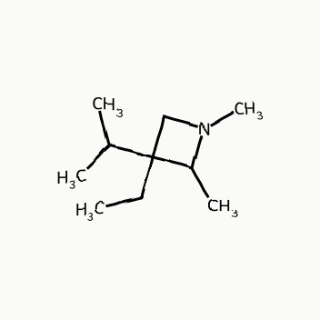 CCC1(C(C)C)CN(C)C1C